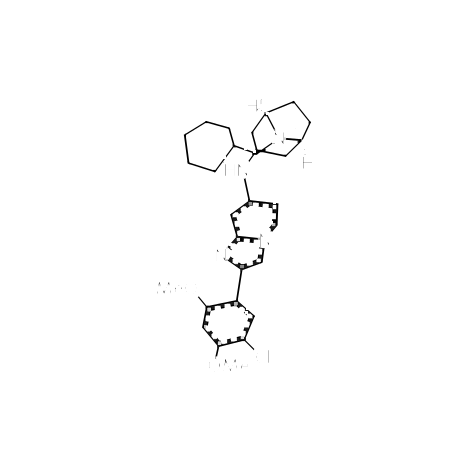 COc1cc(OC)c(-c2cn3ccc(NC4C[C@H]5CC[C@@H](C4)N5CC4CCCCC4)cc3n2)cc1Cl